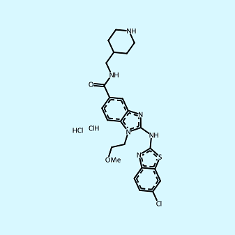 COCCn1c(Nc2nc3ccc(Cl)cc3s2)nc2cc(C(=O)NCC3CCNCC3)ccc21.Cl.Cl